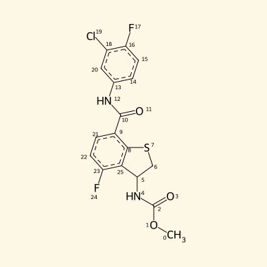 COC(=O)NC1CSc2c(C(=O)Nc3ccc(F)c(Cl)c3)ccc(F)c21